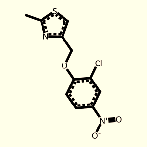 Cc1nc(COc2ccc([N+](=O)[O-])cc2Cl)cs1